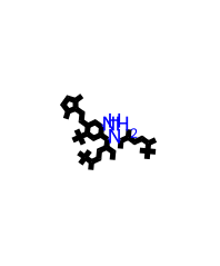 CCC(CCC(C)C(C)(C)C)C(NC(C)C(C)CCC(C)C(C)(C)C)C1CC(C(C)(C)C)C(CCC2C(C)CCC2C)CC1N